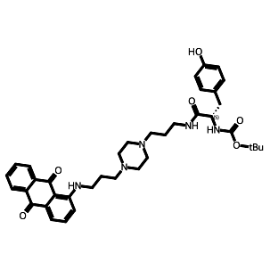 CC(C)(C)OC(=O)N[C@@H](Cc1ccc(O)cc1)C(=O)NCCCN1CCN(CCCNc2cccc3c2C(=O)c2ccccc2C3=O)CC1